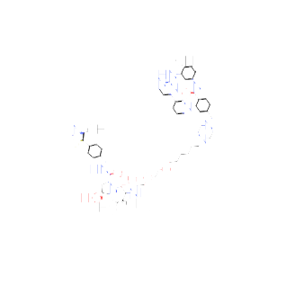 Cc1ccc(NC(=O)c2ccc(CN3CCN(CCCCCCOCCOCC(=O)NC(C(=O)N4C[C@H](O)C[C@H]4C(=O)NCc4ccc(-c5scnc5C)cc4)C(C)(C)C)CC3)cc2)cc1Nc1nccc(-c2cccnc2)n1